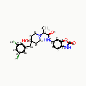 CC(C(=O)Nc1ccc2[nH]c(=O)oc2c1)N1CCC(O)(Cc2cc(F)cc(F)c2)CC1